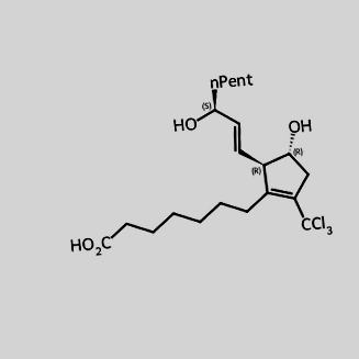 CCCCC[C@H](O)C=C[C@@H]1C(CCCCCCC(=O)O)=C(C(Cl)(Cl)Cl)C[C@H]1O